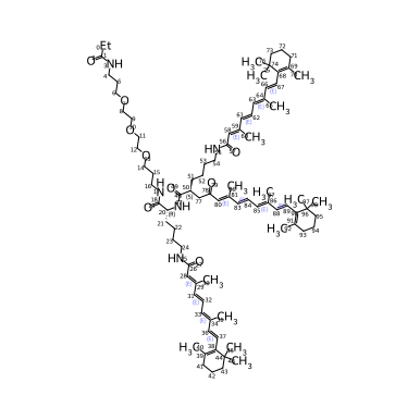 CCC(=O)NCCCOCCOCCOCCCNC(=O)[C@@H](CCCCNC(=O)/C=C(C)/C=C/C=C(C)/C=C/C1=C(C)CCCC1(C)C)NC(=O)[C@@H](CCCCNC(=O)/C=C(C)/C=C/C=C(C)/C=C/C1=C(C)CCCC1(C)C)CC(=O)/C=C(C)/C=C/C=C(C)/C=C/C1=C(C)CCCC1(C)C